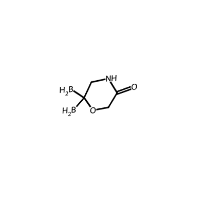 BC1(B)CNC(=O)CO1